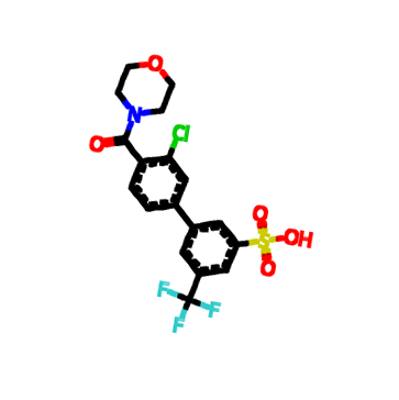 O=C(c1ccc(-c2cc(C(F)(F)F)cc(S(=O)(=O)O)c2)cc1Cl)N1CCOCC1